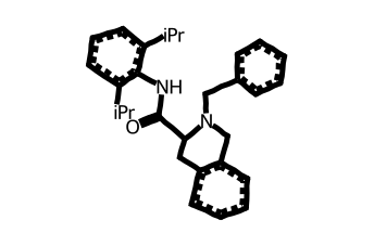 CC(C)c1cccc(C(C)C)c1NC(=O)C1Cc2ccccc2CN1Cc1ccccc1